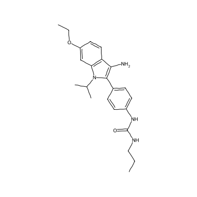 CCCNC(=O)Nc1ccc(-c2c(N)c3ccc(OCC)cc3n2C(C)C)cc1